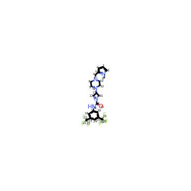 Cn1cccc1CN1CCN(C2CN(C(=O)Nc3cc(C(F)(F)F)cc(C(F)(F)F)c3)C2)CC1